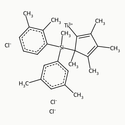 CC1=C(C)C(C)([Si](C)(c2cc(C)cc(C)c2)c2cccc(C)c2C)[C]([Ti+3])=C1C.[Cl-].[Cl-].[Cl-]